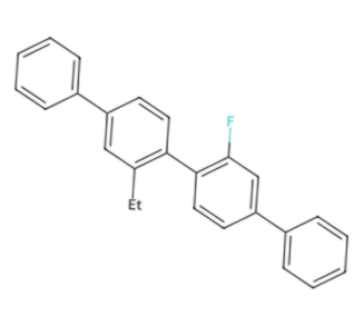 CCc1cc(-c2ccccc2)ccc1-c1ccc(-c2ccccc2)cc1F